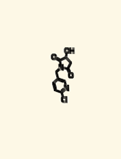 O=C1CC(O)C(=O)N1Cc1ccc(Cl)nc1